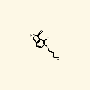 O=C1NCc2ccc(OCCCCl)c(F)c21